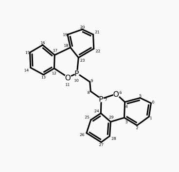 c1ccc2c(c1)OP(CCP1Oc3ccccc3-c3ccccc31)c1ccccc1-2